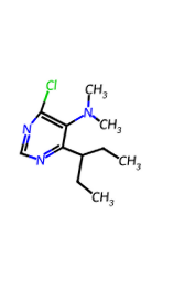 CCC(CC)c1ncnc(Cl)c1N(C)C